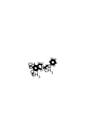 COc1cc2c(cc1OC)CN(C(C)COc1cc[c]cc1)CC2